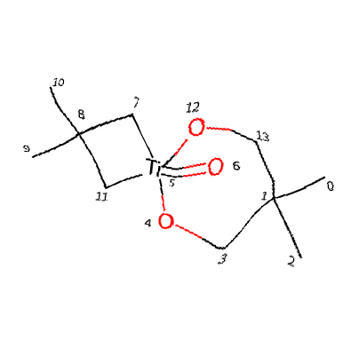 CC1(C)C[O][Ti]2(=[O])([CH2]C(C)(C)[CH2]2)[O]C1